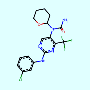 NC(=O)N(c1cnc(Nc2cccc(Cl)c2)nc1C(F)(F)F)C1CCCCO1